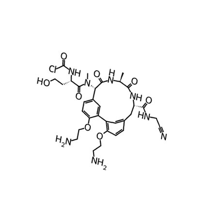 C[C@@H]1NC(=O)[C@@H](N(C)C(=O)[C@H](CCO)NC(=O)Cl)c2ccc(OCCN)c(c2)-c2cc(ccc2OCCN)C[C@@H](C(=O)NCC#N)NC1=O